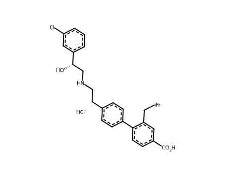 CC(C)Cc1cc(C(=O)O)ccc1-c1ccc(CCNC[C@H](O)c2cccc(Cl)c2)cc1.Cl